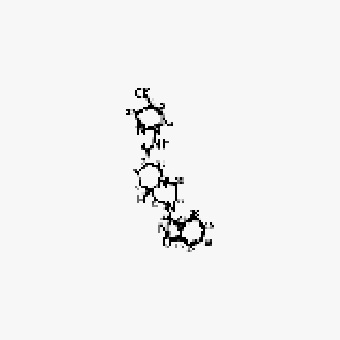 Clc1cnc(NC[C@@H]2CC[C@H]3CN(c4noc5ccccc45)CCN3C2)nc1